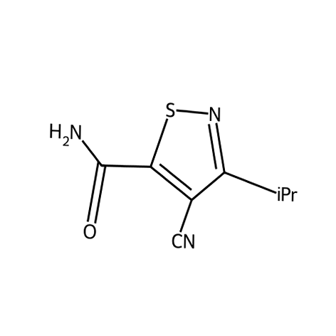 CC(C)c1nsc(C(N)=O)c1C#N